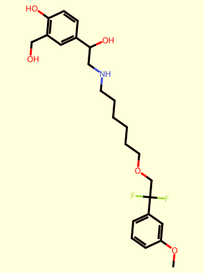 COc1cccc(C(F)(F)COCCCCCCNCC(O)c2ccc(O)c(CO)c2)c1